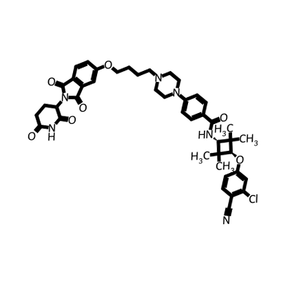 CC1(C)[C@H](NC(=O)c2ccc(N3CCN(CCCCOc4ccc5c(c4)C(=O)N(C4CCC(=O)NC4=O)C5=O)CC3)cc2)C(C)(C)[C@H]1Oc1ccc(C#N)c(Cl)c1